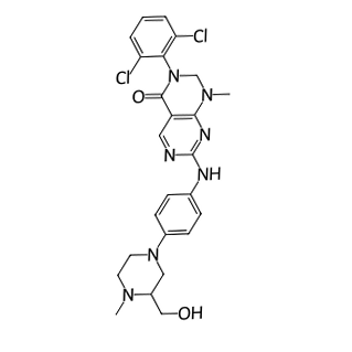 CN1CN(c2c(Cl)cccc2Cl)C(=O)c2cnc(Nc3ccc(N4CCN(C)C(CO)C4)cc3)nc21